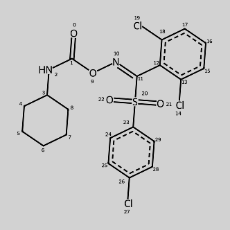 O=C(NC1CCCCC1)ON=C(c1c(Cl)cccc1Cl)S(=O)(=O)c1ccc(Cl)cc1